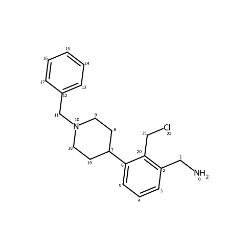 NCc1cccc(C2CCN(Cc3ccccc3)CC2)c1CCl